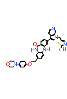 Cc1ncc(Cn2cc(-c3ccc4c(c3)Nc3ccc(CCOc5ccc(N6CCOCC6)cc5)cc3NC4=O)c3ccncc32)s1